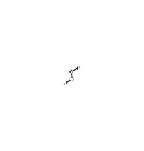 IOOI